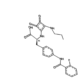 CCCNc1c(N[C@@H](Cc2ccc(NC(=O)c3ccccc3F)cc2)C(=O)O)c(=O)c1=O